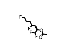 CC(=O)OC(=CC(F)CCCF)C(F)F